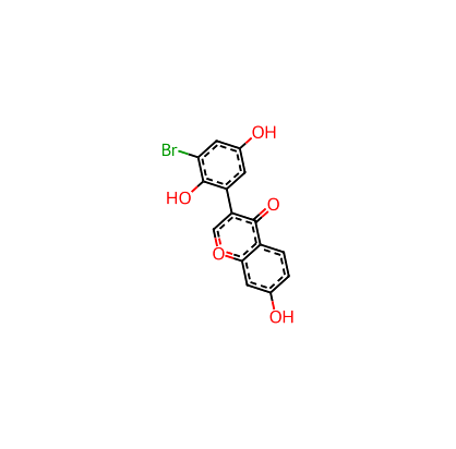 O=c1c(-c2cc(O)cc(Br)c2O)coc2cc(O)ccc12